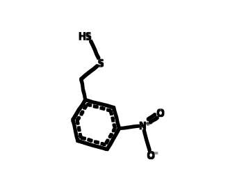 O=[N+]([O-])c1cccc(CSS)c1